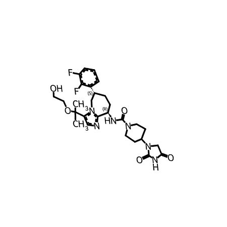 CC(C)(OCCO)c1cnc2n1C[C@H](c1cccc(F)c1F)CC[C@H]2NC(=O)N1CCC(N2CC(=O)NC2=O)CC1